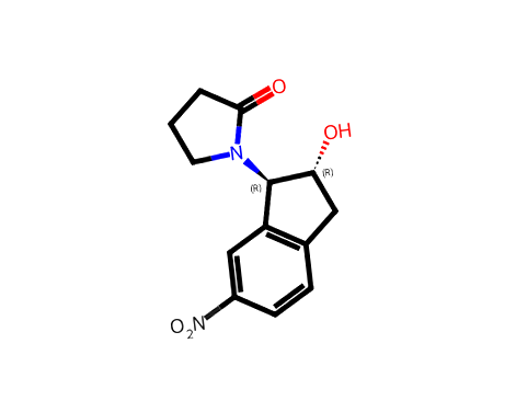 O=C1CCCN1[C@@H]1c2cc([N+](=O)[O-])ccc2C[C@H]1O